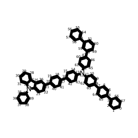 c1ccc(-c2ccc(-c3ccc(N(c4ccc(-c5ccc(-c6ccc7c(c6)c6ccccc6n7-c6ccccc6)cc5)cc4)c4ccc(-c5cccc(-c6ccccc6)c5)cc4)cc3)cc2)cc1